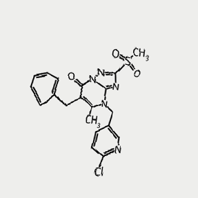 Cc1c(Cc2ccccc2)c(=O)n2nc(S(C)(=O)=O)nc2n1Cc1ccc(Cl)nc1